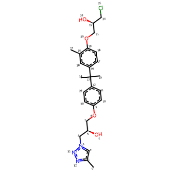 Cc1cn(C[C@H](O)COc2ccc(C(C)(C)c3ccc(OC[C@@H](O)CCl)c(C)c3)cc2)nn1